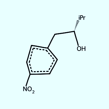 CC(C)[C@H](O)Cc1ccc([N+](=O)[O-])cc1